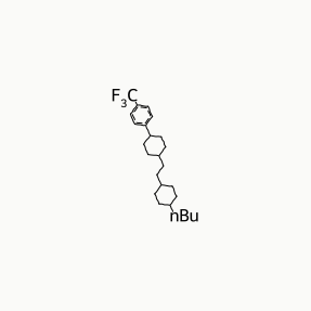 CCCCC1CCC(CCC2CCC(c3ccc(C(F)(F)F)cc3)CC2)CC1